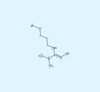 CC(C)OCCCN/C(=N\C#N)N(C)C